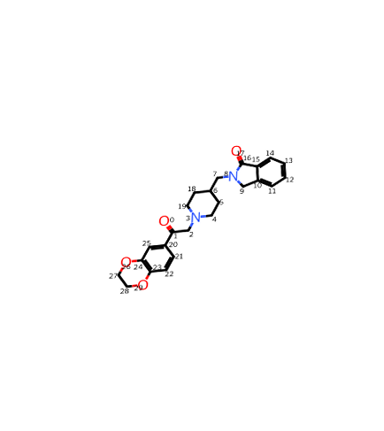 O=C(CN1CCC(CN2Cc3ccccc3C2=O)CC1)c1ccc2c(c1)OCCO2